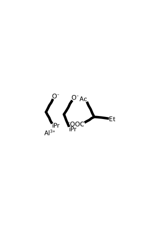 CC(C)C[O-].CC(C)C[O-].CCC(C(C)=O)C(=O)[O-].[Al+3]